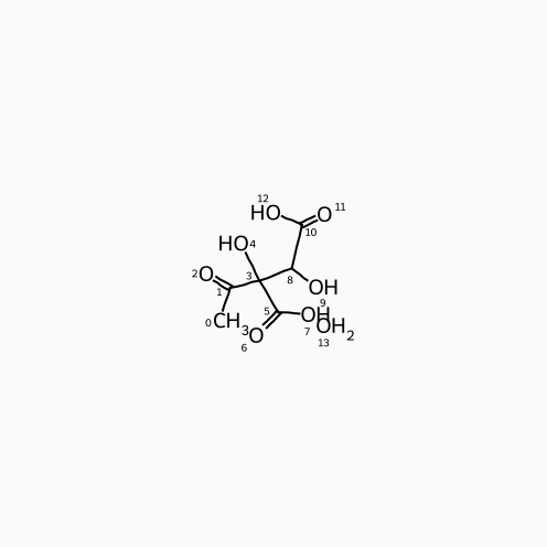 CC(=O)C(O)(C(=O)O)C(O)C(=O)O.O